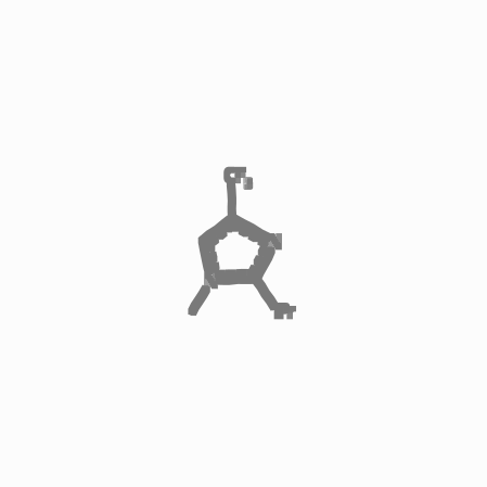 CC(C)c1nc(C(F)(F)F)cn1C